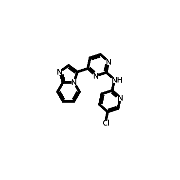 Clc1ccc(Nc2nccc(-c3cnc4ccccn34)n2)nc1